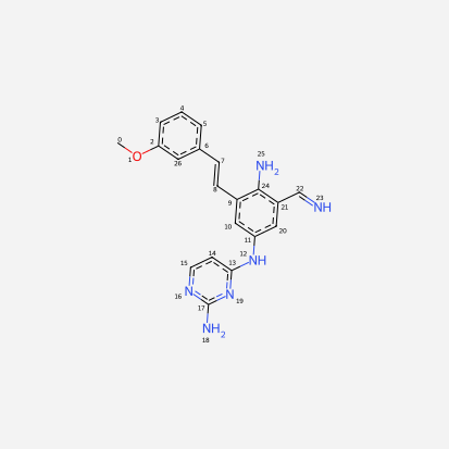 COc1cccc(/C=C/c2cc(Nc3ccnc(N)n3)cc(C=N)c2N)c1